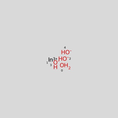 O.[In+3].[OH-].[OH-].[OH-]